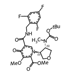 COC(=O)c1c(OC)c(=O)c(C(=O)NCc2c(F)cc(F)cc2F)cn1[C@@H]1COC[C@H]1N(C)C(=O)OC(C)(C)C